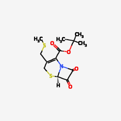 CSCC1=C(C(=O)OC(C)(C)C)N2C(=O)C(=O)[C@H]2SC1